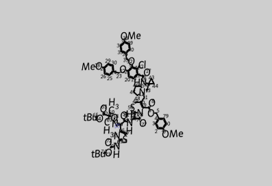 COc1ccc(COC(=O)C2=C(C[N+]3(CC4(NC(=O)c5ccc(OCc6ccc(OC)cc6)c(OCc6ccc(OC)cc6)c5Cl)CC4)CCCC3)CS[C@@H]3[C@H](NC(=O)/C(=N\OC(C)(C)C(=O)OC(C)(C)C)c4csc(NC(=O)OC(C)(C)C)n4)C(=O)N23)cc1